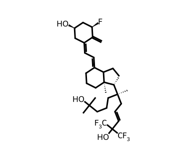 C=C1/C(=C\C=C2CCC[C@@]3(C)C2CC[C@@H]3[C@@](C)(C/C=C/C(O)(C(F)(F)F)C(F)(F)F)CCCC(C)(C)O)C[C@@H](O)C[C@H]1F